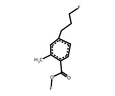 Cc1cc(CCCF)ccc1C(=O)OF